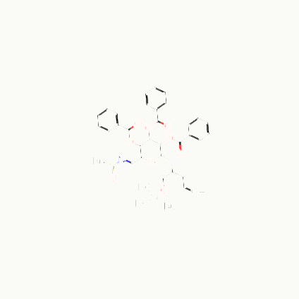 C=CCC(CO[Si](C)(C)C(C)(C)C)SC1OC(/C=N/[S@+]([O-])C(C)(C)C)C(OC(=O)c2ccccc2)C(OC(=O)c2ccccc2)C1OC(=O)c1ccccc1